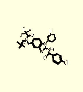 C[C@H](N(Cc1ccc2c(c1)nc(NC(=O)c1ccc(Cl)cc1)n2C1CCCNC1)C(=O)C(F)(F)F)C(C)(C)C